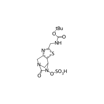 CC(C)(C)OC(=O)NCc1nc2c(s1)C1CN(C2)C(=O)N1OS(=O)(=O)O